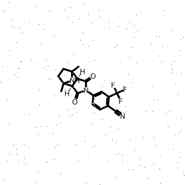 CC12CCC(C)(N1)[C@H]1C(=O)N(c3ccc(C#N)c(C(F)(F)F)c3)C(=O)[C@H]12